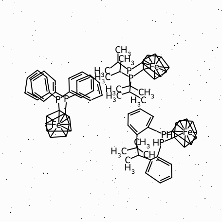 CC(C)P(C(C)C)[C]12[CH]3[CH]4[CH]5[CH]1[Fe]45321678[CH]2[CH]1[CH]6[C]7(P(C(C)C)C(C)C)[CH]28.CC(C)c1ccccc1P[C]12[CH]3[CH]4[CH]5[CH]1[Fe]45321678[CH]2[CH]1[CH]6[C]7(Pc1ccccc1C(C)C)[CH]28.c1ccc(P(c2ccccc2)[C]23[CH]4[CH]5[CH]6[CH]2[Fe]56432789[CH]3[CH]2[CH]7[C]8(P(c2ccccc2)c2ccccc2)[CH]39)cc1